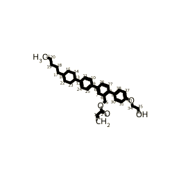 C=CC(=O)OCc1cc(-c2ccc(C3CCC(CCCCC)CC3)cc2)ccc1-c1ccc(OCCO)cc1